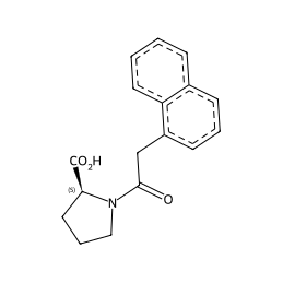 O=C(O)[C@@H]1CCCN1C(=O)Cc1cccc2ccccc12